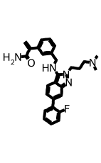 C=C(C(N)=O)c1cccc(CNc2c3ccc(-c4ccccc4F)cc3nn2CCCN(C)C)c1